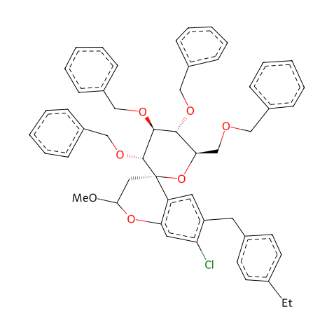 CCc1ccc(Cc2cc3c(cc2Cl)OC(OC)C[C@]32O[C@H](COCc3ccccc3)[C@@H](OCc3ccccc3)[C@H](OCc3ccccc3)[C@H]2OCc2ccccc2)cc1